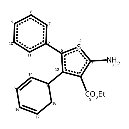 CCOC(=O)c1c(N)sc(-c2ccccc2)c1C1C=CC=CC1